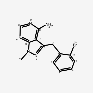 Cn1nc(Cc2ccccc2Br)c2c(N)ncnc21